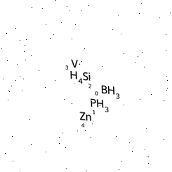 B.P.[SiH4].[V].[Zn]